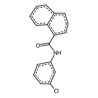 O=C(Nc1cccc(Cl)c1)c1[c]ccc2ccccc12